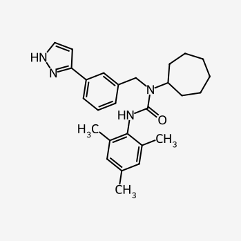 Cc1cc(C)c(NC(=O)N(Cc2cccc(-c3cc[nH]n3)c2)C2CCCCCC2)c(C)c1